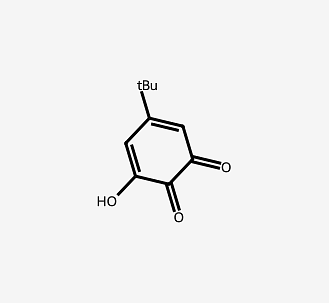 CC(C)(C)C1=CC(=O)C(=O)C(O)=C1